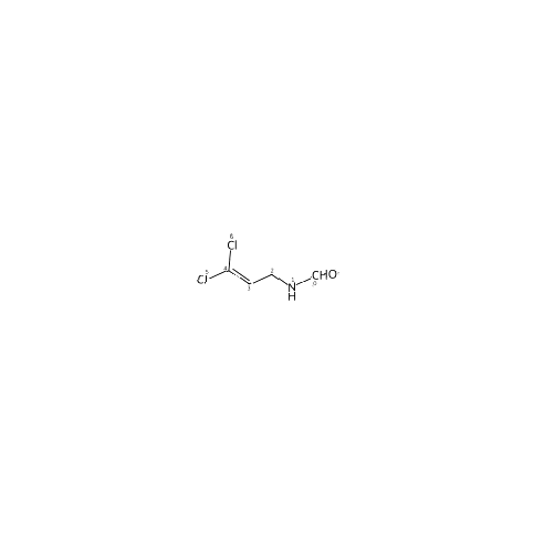 O=[C]NCC=C(Cl)Cl